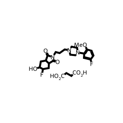 COc1ccc(F)cc1N1CCN(CCCN2C(=O)C3CC(O)C(F)CC3C2=O)CC1.O=C(O)CCC(=O)O